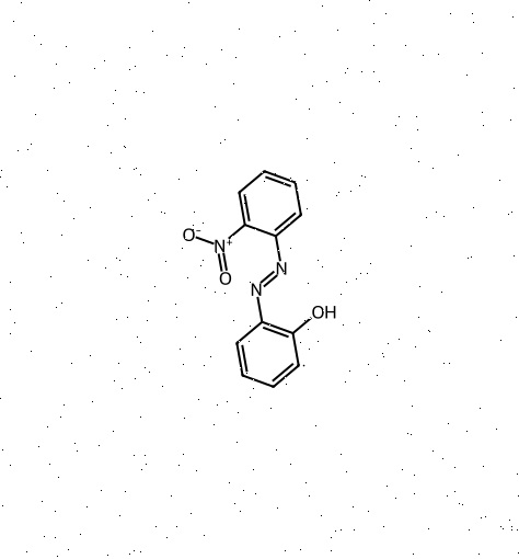 O=[N+]([O-])c1ccccc1N=Nc1ccc[c]c1O